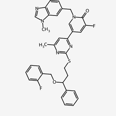 Cc1cc(-c2cc(F)c(=O)n(Cc3ccc4ncn(C)c4c3)c2)nc(SCCC(OCc2ccccc2F)c2ccccc2)n1